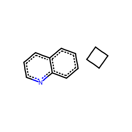 C1CCC1.c1ccc2ncccc2c1